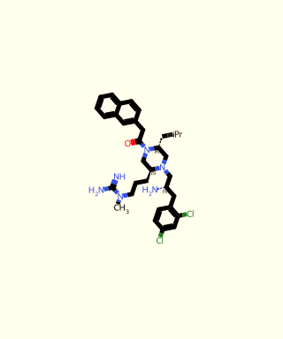 CC(C)C[C@@H]1CN(C[C@@H](N)Cc2ccc(Cl)cc2Cl)[C@@H](CCCN(C)C(=N)N)CN1C(=O)Cc1ccc2ccccc2c1